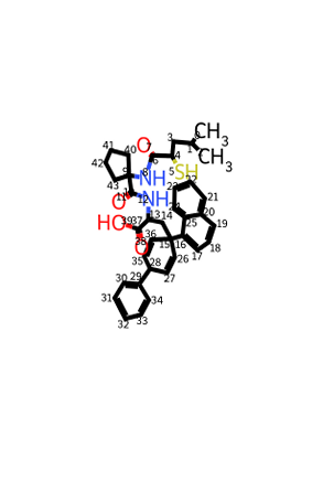 CC(C)CC(S)C(=O)NC1(C(=O)NC(CC2(c3cccc4ccccc34)C=CC(c3ccccc3)C=C2)C(=O)O)CCCC1